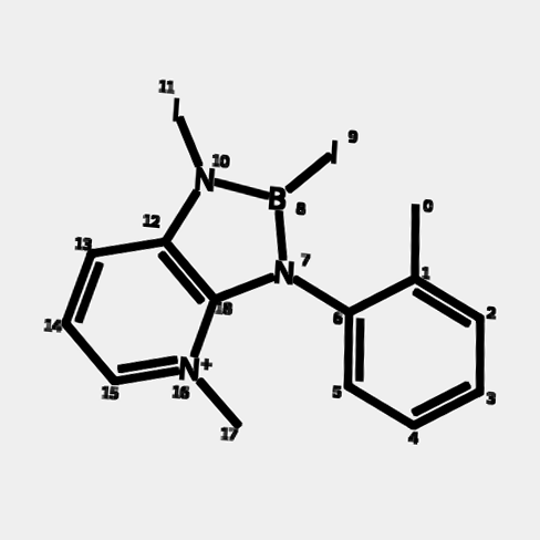 Cc1ccccc1N1B(I)N(I)c2ccc[n+](C)c21